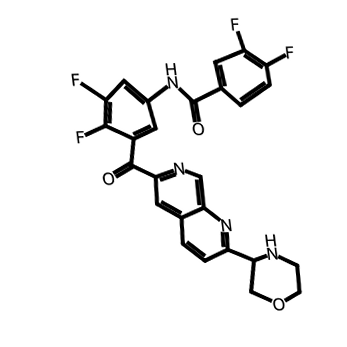 O=C(Nc1cc(F)c(F)c(C(=O)c2cc3ccc(C4COCCN4)nc3cn2)c1)c1ccc(F)c(F)c1